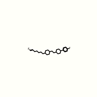 F/C=C/CCCCCC1CCC(CCC2CCC(c3ccc(F)cc3)CC2)CC1